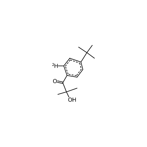 [2H]c1cc(C(C)(C)C)ccc1C(=O)C(C)(C)O